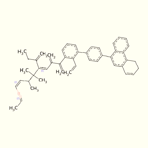 C=Cc1c(C(=C)C(=C)/C=C(\C(=C)CC)C(C)(C)C(C)/C=C\B=C/C)cccc1-c1ccc(-c2cc3c(c4ccccc24)CCC=C3)cc1